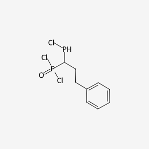 O=P(Cl)(Cl)C(CCc1ccccc1)PCl